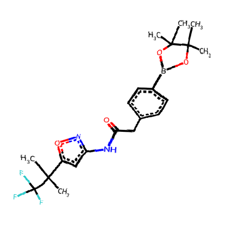 CC1(C)OB(c2ccc(CC(=O)Nc3cc(C(C)(C)C(F)(F)F)on3)cc2)OC1(C)C